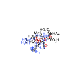 CSCCC(NC(=O)C(CCC(=O)O)NC(=O)C(CCC(=O)O)NC(C)=O)C(=O)NC(CCC(N)=O)C(=O)NC(CCCNC(=N)N)C(=O)NC(CCCNC(=N)N)C(=O)NC(C)C(N)=O